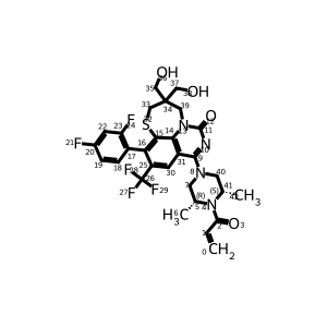 C=CC(=O)N1[C@H](C)CN(c2nc(=O)n3c4c(c(-c5ccc(F)cc5F)c(C(F)(F)F)cc24)SCC(CO)(CO)C3)C[C@@H]1C